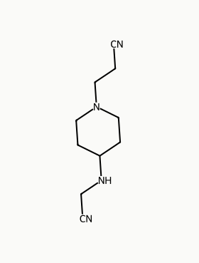 N#CCCN1CCC(NCC#N)CC1